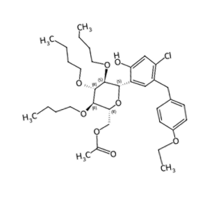 CCCCO[C@@H]1[C@@H](OCCCC)[C@H](c2cc(Cc3ccc(OCC)cc3)c(Cl)cc2O)O[C@H](COC(C)=O)[C@H]1OCCCC